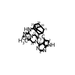 Cc1c[nH]c2ncnc(N3CCN(C(=NC#N)NC4C5CC6CC(C5)CC4C6)C(C)C3)c12